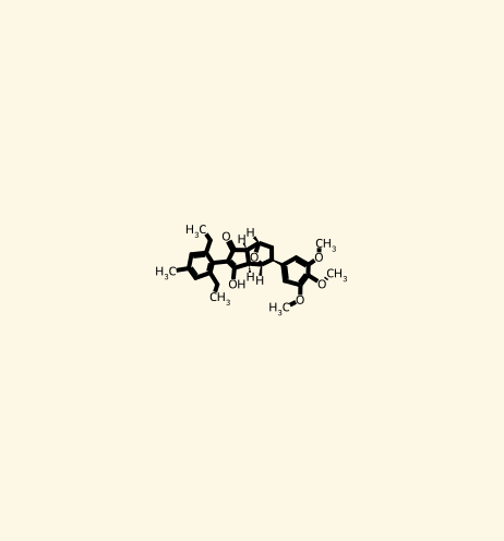 CCc1cc(C)cc(CC)c1C1=C(O)[C@@H]2[C@@H]3O[C@@H](C[C@H]3c3cc(OC)c(OC)c(OC)c3)[C@@H]2C1=O